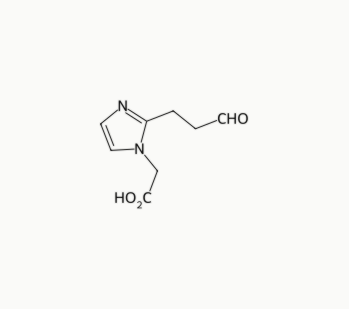 O=CCCc1nccn1CC(=O)O